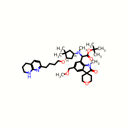 COCc1cc(C(C(=O)OC(C)(C)C)N(C)[C@H]2C[C@H](OCCCCc3ccc4c(n3)NCCC4)C(C)(C)C2)c2c(c1)C1(CCOCC1)C(=O)N2C